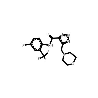 O=C(Nc1ccc(Br)cc1C(F)(F)F)c1snnc1CN1CCOCC1